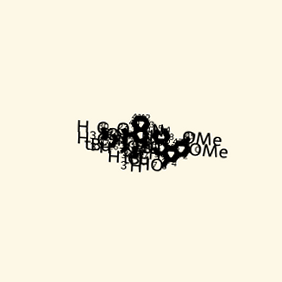 COc1cc2cc(CO)c(CO)c(-c3ccnc(-n4c(=O)cc(C(=O)N(C(CC(C)(C)C)O[SiH](C)C)C(CC(C)(C)C)O[SiH](C)C)c5ccccc54)c3)c2cc1OC